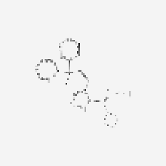 ON=C(c1n[nH]c2c1C=CC(c1ccccn1)(c1ccccn1)C2)C1CCC1